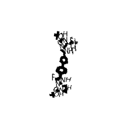 C[SiH](C)C[C@H](NC(=O)OC(C)(C)C)c1ncc(-c2ccc(-c3ccc(-c4[nH]c([C@@H]5C[C@H]6C[C@H]6N5C(=O)OC(C)(C)C)nc4F)cc3)cc2)[nH]1